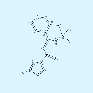 Cc1ccc(C(=O)C=C2NC(C)(C)Cc3ccccc32)s1